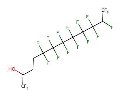 O[C](CCC(F)(F)C(F)(F)C(F)(F)C(F)(F)C(F)(F)C(F)(F)C(F)C(F)(F)F)C(F)(F)F